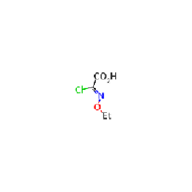 CCON=C(Cl)C(=O)O